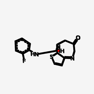 O=C1CN=C2C=CSC23NC(Nc2ccccc2F)=NC=C3C1